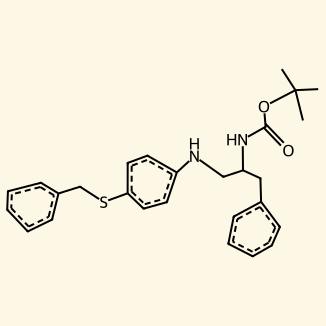 CC(C)(C)OC(=O)NC(CNc1ccc(SCc2ccccc2)cc1)Cc1ccccc1